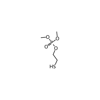 COP(=O)(OC)OCCS